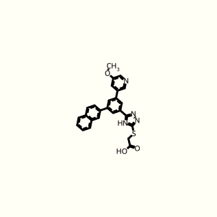 COc1cncc(-c2cc(-c3ccc4ccccc4c3)cc(-c3nnc(SCC(=O)O)[nH]3)c2)c1